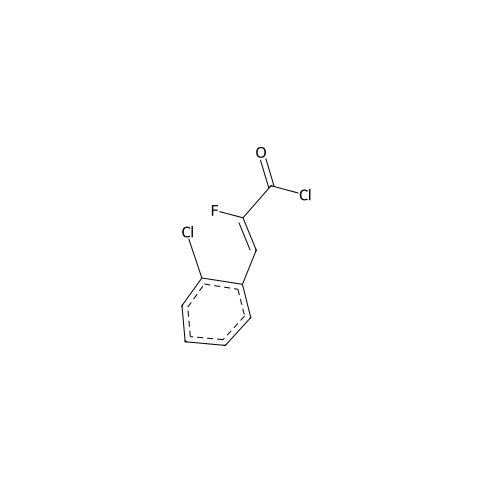 O=C(Cl)/C(F)=C/c1ccccc1Cl